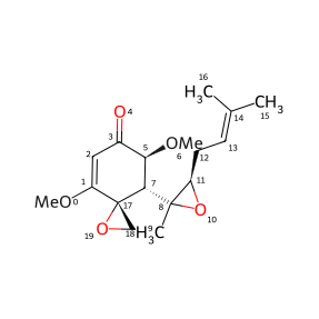 COC1=CC(=O)[C@@H](OC)[C@H](C2(C)O[C@@H]2CC=C(C)C)[C@@]12CO2